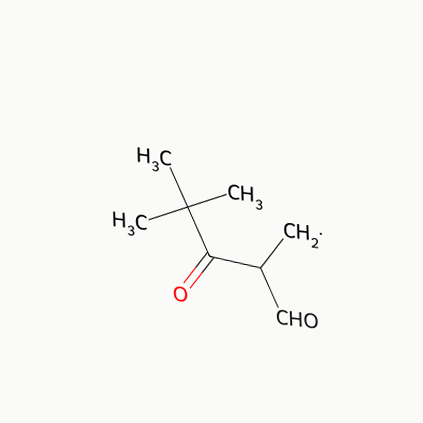 [CH2]C(C=O)C(=O)C(C)(C)C